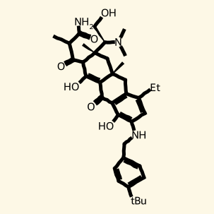 CCc1cc(NCc2ccc(C(C)(C)C)cc2)c(O)c2c1C[C@@]1(C)C[C@@](C)([C@@H](CO)N(C)C)C(C(=O)C(C)C(N)=O)C(O)=C1C2=O